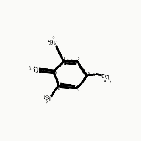 CC(C)(C)C1=CC(C(Cl)(Cl)Cl)C=C(C(C)(C)C)C1=O